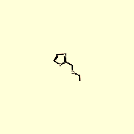 CCOCc1nccs1